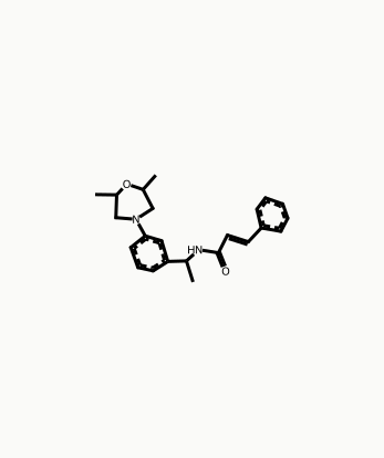 CC1CN(c2cccc(C(C)NC(=O)C=Cc3ccccc3)c2)CC(C)O1